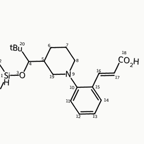 C[SiH](C)OC(C1CCCN(c2ccccc2C=CC(=O)O)C1)C(C)(C)C